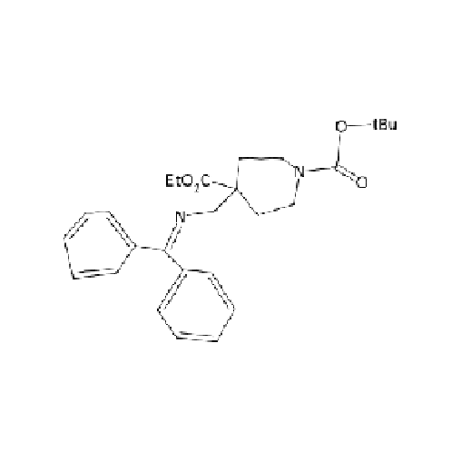 CCOC(=O)C1(CN=C(c2ccccc2)c2ccccc2)CCN(C(=O)OC(C)(C)C)CC1